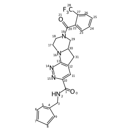 O=C(NCc1ccccc1)c1cc2c(nn1)N1CCN(C(=O)c3ccccc3C(F)(F)F)CC1C2